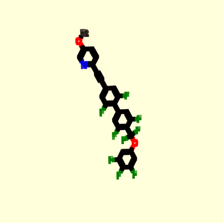 CCOc1ccc(C#Cc2cc(F)c(-c3cc(F)c(C(F)(F)Oc4cc(F)c(F)c(F)c4)c(F)c3)c(F)c2)nc1